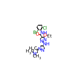 CCOc1nc(Nc2cnn([C@H](C)CN(C)C)c2)ncc1C(=O)Nc1c(Cl)cccc1Br